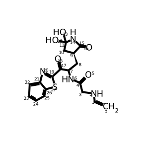 C=CNCC(=O)NC(C[C@H]1CC(O)(O)NC1=O)C(=O)c1nc2ccccc2s1